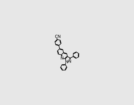 N#Cc1ccc(-c2ccc3nc4c(cc3c2)c(-c2ccccc2)nn4-c2ccccc2)cc1